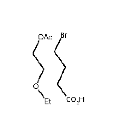 CCOCCOC(C)=O.O=C(O)CCCBr